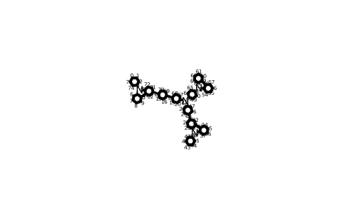 c1ccc(-n2c3ccccc3c3cc(-c4ccc(-c5ccc(N(c6ccc(-c7ccc8c(c7)c7ccccc7n8-c7ccccc7)cc6)c6ccc(-n7c8ccccc8c8ccccc87)cc6)cc5)cc4)ccc32)cc1